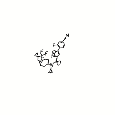 N#Cc1ccc(-c2cc(C(=O)N(C3CC3)C3CCN(CC4(C(F)(F)F)CC4)CC3)no2)c(F)c1